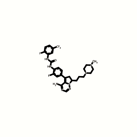 CN1CCN(CCCC2CC(c3ccc(NC(=O)Nc4cc(C(F)(F)F)ccc4F)c(F)c3)=C3C(N)=NC=NN32)CC1